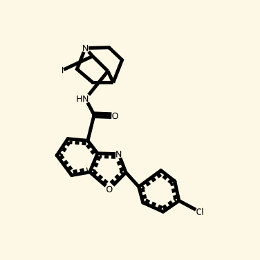 O=C(NC1C2CCN(CC2)C1I)c1cccc2oc(-c3ccc(Cl)cc3)nc12